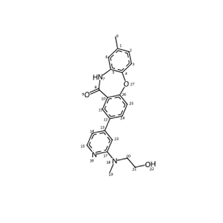 Cc1ccc2c(c1)NC(=O)c1cc(-c3ccnc(N(C)CCO)c3)ccc1O2